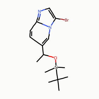 CC(O[Si](C)(C)C(C)(C)C)c1ccc2ncc(Br)n2c1